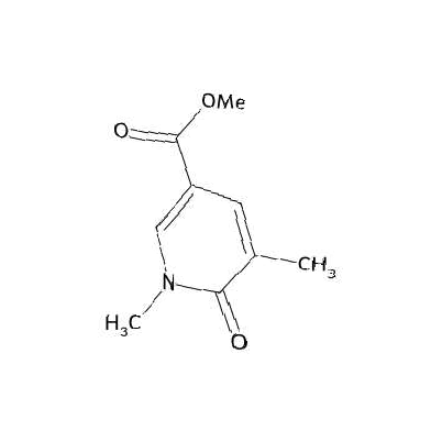 COC(=O)c1cc(C)c(=O)n(C)c1